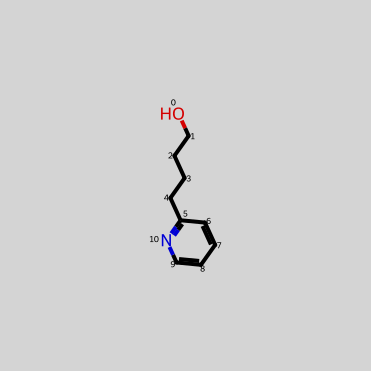 OCCCCc1[c]cccn1